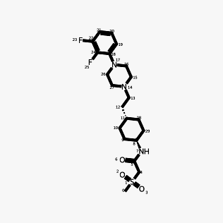 CS(=O)(=O)CC(=O)N[C@H]1CC[C@H](CCN2CCN(c3cccc(F)c3F)CC2)CC1